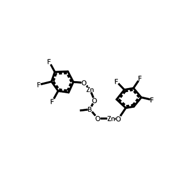 CB([O][Zn][O]c1cc(F)c(F)c(F)c1)[O][Zn][O]c1cc(F)c(F)c(F)c1